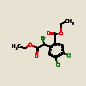 CCOC(=O)c1cc(Cl)c(Cl)cc1C(Br)C(=O)OCC